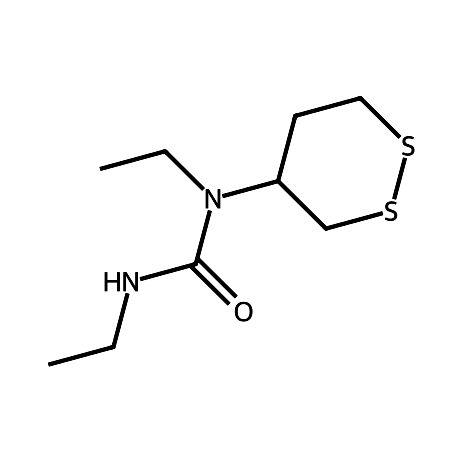 CCNC(=O)N(CC)C1CCSSC1